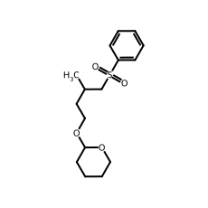 CC(CCOC1CCCCO1)CS(=O)(=O)c1ccccc1